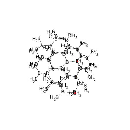 BBB(B)B(B(B(B)B)B(B)B)B(B(B(B)B)B(B)B)B(B(B(B(B)B)B(B)B)B(B(B)B)B(B)B)B(B(B(B(B)B)B(B)B)B(B(B)B)B(B)B)B(B(B(B)B)B(B)B)B(B(B)B)B(B)B